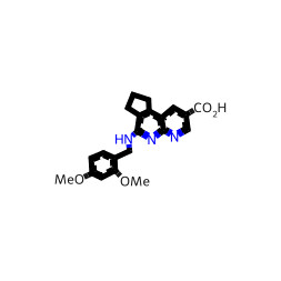 COc1ccc(CNc2nc3ncc(C(=O)O)cc3c3c2CCC3)c(OC)c1